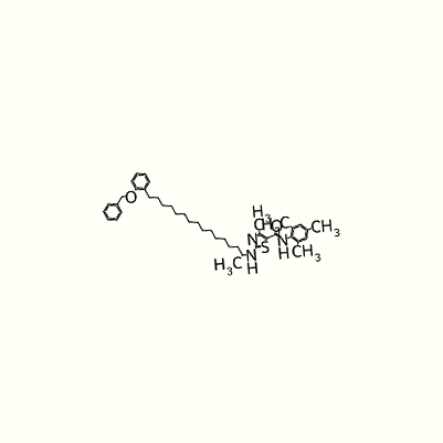 Cc1cc(C)c(NC(=O)c2sc(NC(C)CCCCCCCCCCCCCCc3ccccc3OCc3ccccc3)nc2C)c(C)c1